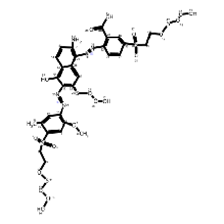 COc1cc(S(=O)(=O)CCOSOOO)c(C)cc1/N=N/c1c(SOOO)cc2c(/N=N/c3ccc(S(=O)(=O)CCOSOOO)cc3C(=O)O)c(N)ccc2c1O